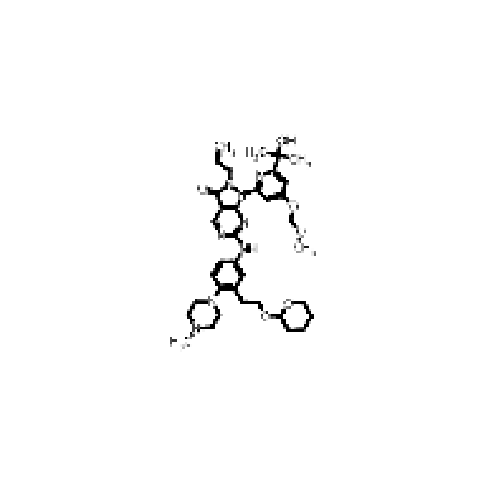 C=CCn1c(=O)c2cnc(Nc3ccc(N4CCN(C)CC4)c(CCOC4CCCCO4)c3)nc2n1-c1cc(OCOC)cc(C(C)(C)O)n1